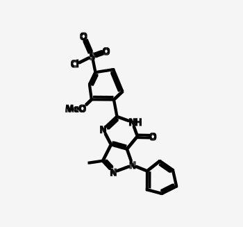 COc1cc(S(=O)(=O)Cl)ccc1-c1nc2c(C)nn(-c3ccccc3)c2c(=O)[nH]1